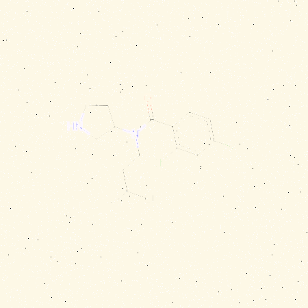 CC(C)CCN(C(=O)c1ccc(Cl)cc1Cl)C1CCNC1